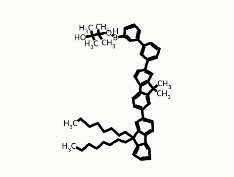 CCCCCCCCC1(CCCCCCCC)c2ccccc2-c2ccc(-c3ccc4c(c3)C(C)(C)c3cc(-c5cccc(-c6cccc(BOC(C)(C)C(C)(C)O)c6)c5)ccc3-4)cc21